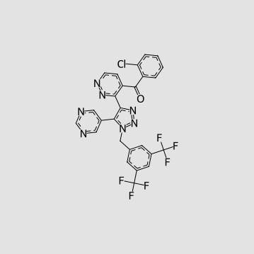 O=C(c1ccccc1Cl)c1ccnnc1-c1nnn(Cc2cc(C(F)(F)F)cc(C(F)(F)F)c2)c1-c1cncnc1